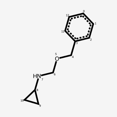 c1ccc(COCNC2CC2)cc1